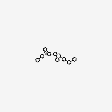 c1ccc(-c2ccc(-n3c4ccccc4c4cc(-c5ccc6c(c5)-c5ccccc5C(c5ccc(-c7cccc(-c8ccccc8)c7)cc5)CC6)ccc43)cc2)cc1